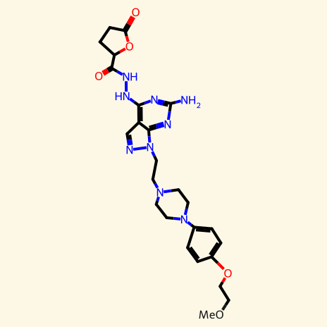 COCCOc1ccc(N2CCN(CCn3ncc4c(NNC(=O)C5CCC(=O)O5)nc(N)nc43)CC2)cc1